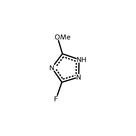 COc1nc(F)n[nH]1